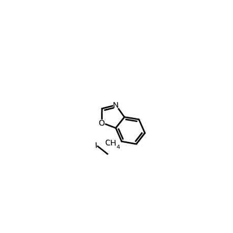 C.CI.c1ccc2ocnc2c1